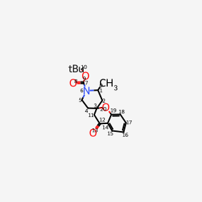 CC1CC2(CCN1C(=O)OC(C)(C)C)CC(=O)c1ccccc1O2